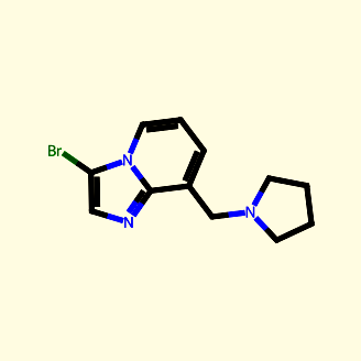 Brc1cnc2c(CN3CCCC3)cccn12